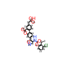 CC(OC(=O)Nc1cnoc1-c1ccc2c(c1)oc(=O)c1cc(CC(=O)O)ccc12)c1ccccc1Cl